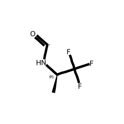 C[C@@H](N[C]=O)C(F)(F)F